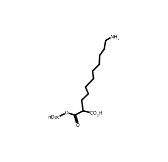 CCCCCCCCCCOC(=O)C(CCCCCCCCCN)C(=O)O